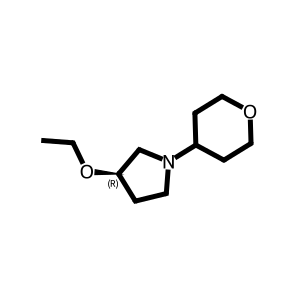 CCO[C@@H]1CCN(C2CCOCC2)C1